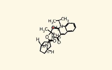 CC(C)n1c(=O)c(C(=O)N[C@@H]2C[C@H]3CC[C@@H](C2)N3C(=O)OC(C)(C)C)cc2ccccc21